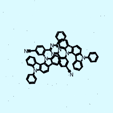 N#Cc1ccc(-c2nc(-c3ccccc3)nc(-c3ccc(C#N)cc3-n3c4ccccc4c4ccc5c(c6ccccc6n5-c5ccccc5)c43)n2)c(-n2c3ccccc3c3ccc4c(c5ccccc5n4-c4ccccc4)c32)c1